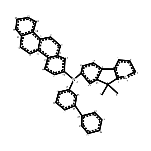 CC1(C)c2ccccc2-c2ccc(N(c3cccc(-c4ccccc4)c3)c3ccc4c(ccc5c6ccccc6ccc45)c3)cc21